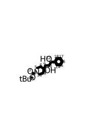 CC(C)(C)OC(=O)N1CCC(O)(CCC(O)c2ccccc2)CC1